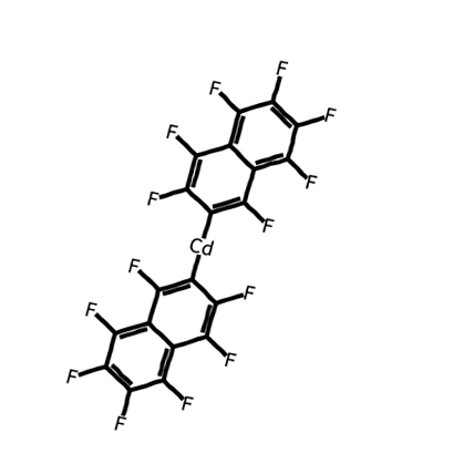 Fc1c(F)c(F)c2c(F)[c]([Cd][c]3c(F)c(F)c4c(F)c(F)c(F)c(F)c4c3F)c(F)c(F)c2c1F